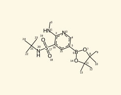 CNc1ncc(B2OC(C)(C)C(C)(C)O2)cc1S(=O)(=O)NC(C)(C)C